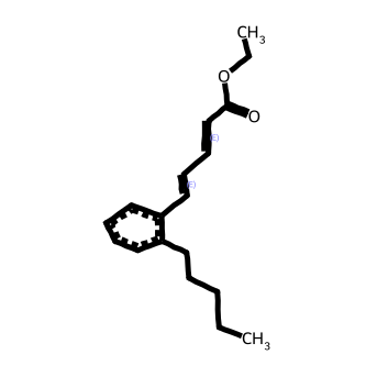 CCCCCc1ccccc1/C=C/C=C/C(=O)OCC